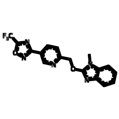 Cn1c(OCc2ccc(-c3noc(C(F)(F)F)n3)cn2)nc2ccccc21